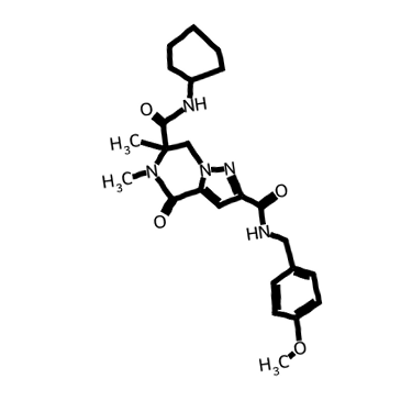 COc1ccc(CNC(=O)c2cc3n(n2)CC(C)(C(=O)NC2CCCCC2)N(C)C3=O)cc1